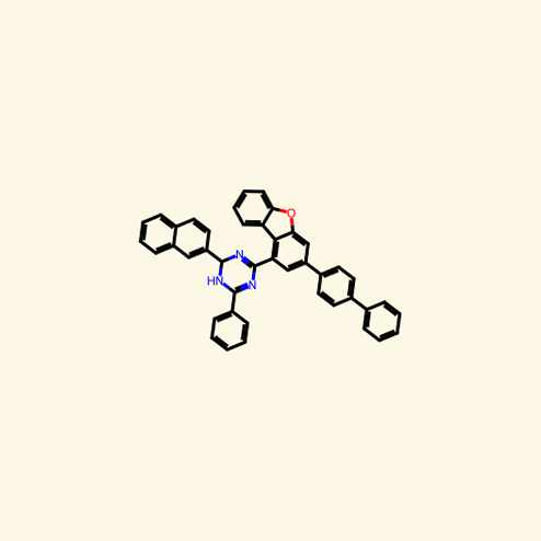 c1ccc(C2=NC(c3cc(-c4ccc(-c5ccccc5)cc4)cc4oc5ccccc5c34)=NC(c3ccc4ccccc4c3)N2)cc1